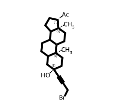 CC(=O)[C@H]1CCC2C3CCC4C[C@](O)(C#CCBr)CC[C@]4(C)C3CC[C@@]21C